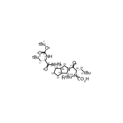 CC(C)(C)C[C@H](NC(=O)OC(C)(C)C)C(=O)N[C@H]1CC[C@@H]2CN(C(=O)[C@H](CC(C)(C)C)N(C(=O)O)C(C)(C)C)C[C@@H]21